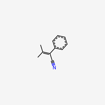 CC(C)=C(C#N)c1ccccc1